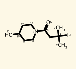 CC(C)(I)CC(=O)N1CCC(O)CC1